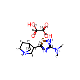 CN(C)c1nsc(C2CN3CCC2C3)n1.O=C(O)C(=O)O